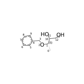 C[C@H](OCc1ccccc1)C(O)CO